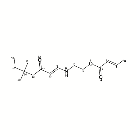 C/C=C/C(=O)OCCN/C=C/C(=O)CC(C)(C)CC